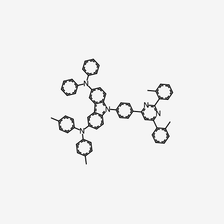 Cc1ccc(N(c2ccc(C)cc2)c2ccc3c(c2)c2cc(N(c4ccccc4)c4ccccc4)ccc2n3-c2ccc(-c3cc(-c4ccccc4C)nc(-c4ccccc4C)n3)cc2)cc1